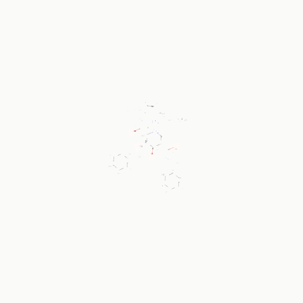 COC[C@@H]1C=C[C@H](C)N2CN1n1cc(C(=O)NCc3ccc(F)cc3F)c(=O)c(OCc3ccccc3)c1C2=O